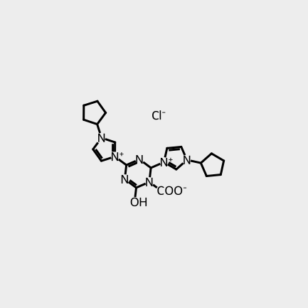 O=C([O-])N1C(O)=NC([n+]2ccn(C3CCCC3)c2)=NC1[n+]1ccn(C2CCCC2)c1.[Cl-]